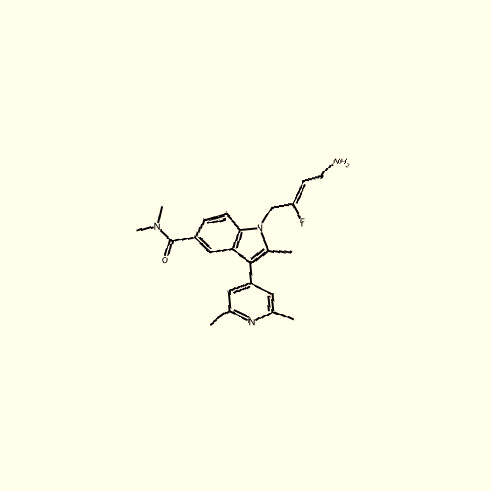 Cc1cc(-c2c(C)n(C/C(F)=C/CN)c3ccc(C(=O)N(C)C)cc23)cc(C)n1